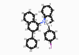 Ic1ccc(-[13c]2cc3ccccc3n2-c2cc(-c3ccccc3)cc3ccccc23)cc1